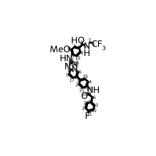 COc1cc(C(O)NCC(F)(F)F)ccc1Nc1nc2ccc(-c3ccc(NC(=O)Cc4ccc(F)cc4)cc3)cn2n1